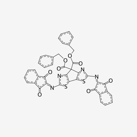 O=C(OCc1ccccc1)C1(C(=O)OCc2ccccc2)c2nc(N=c3c(=O)c4ccccc4c3=O)sc2-c2sc(N=c3c(=O)c4ccccc4c3=O)nc21